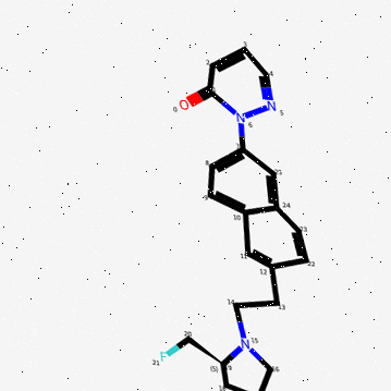 O=c1cccnn1-c1ccc2cc(CCN3CCC[C@H]3CF)ccc2c1